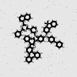 CC1(C)c2ccccc2-c2cc(N(c3ccc(-c4ccccc4)cc3)c3ccc4c5c6oc7c(ccc8c9ccccc9c9ccccc9c87)c6c6ccccc6c5n(-c5cc(-c6nc(-c7ccccc7)nc(-c7cccc8ccccc78)n6)ccn5)c4c3)ccc21